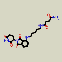 NC(=O)CCC(=O)NCCCCCNc1cccc2c1C(=O)N(C1CCC(=O)NC1=O)C2=O